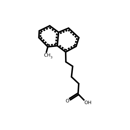 Cc1cccc2cccc(CCCCC(=O)O)c12